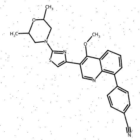 COc1c(-c2csc(N3CC(C)OC(C)C3)n2)cnc2c(-c3ccc(C#N)cc3)cccc12